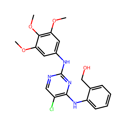 COc1cc(Nc2ncc(Cl)c(Nc3ccccc3CO)n2)cc(OC)c1OC